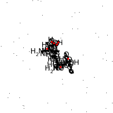 C=C(N[C@H](C(=O)N[C@@H](CC(C)C)C(=O)N[C@H](CCCNC(=N)N)C(=O)NC(C(=O)N[C@H](C(=O)NCC(=O)N[C@H](C(=O)N[C@@H](CO)C(=O)N[C@@H](c1ccc(OC)cc1)[C@@H](NC(=O)OCc1ccccc1)C(=O)O)[C@H](O)C(N)=O)[C@H](C)O)[C@@H](C)CC)[C@H](O)C(C)OC)OC(C)(C)C